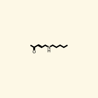 CCCCCNCC=CC(C)=O